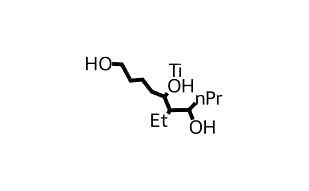 CCCC(O)C(CC)C(O)CCCCO.[Ti]